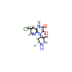 C[C@@H]1CC(n2c(=O)c(=O)n(C)c3cc(Cl)cnc32)[C@@H](C)CN1